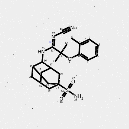 Cc1ccccc1OC(C)(C)/C(=N\C#N)NC1C2CC3CC1CC(S(N)(=O)=O)(C3)C2